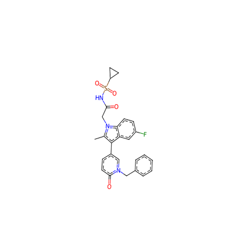 Cc1c(-c2ccc(=O)n(Cc3ccccc3)c2)c2cc(F)ccc2n1CC(=O)NS(=O)(=O)C1CC1